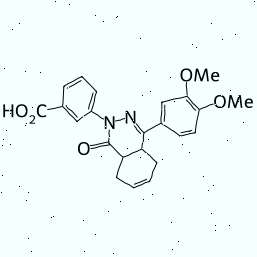 COc1ccc(C2=NN(c3cccc(C(=O)O)c3)C(=O)C3CC=CCC23)cc1OC